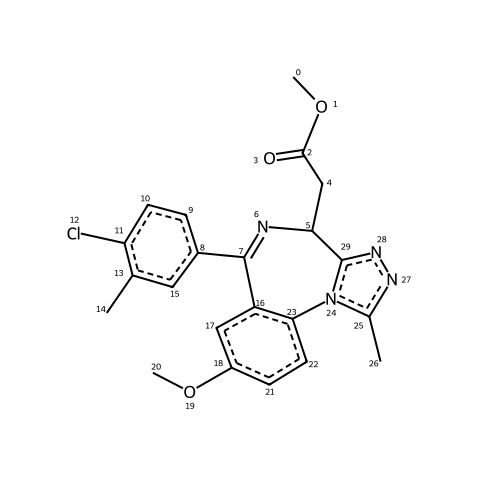 COC(=O)CC1N=C(c2ccc(Cl)c(C)c2)c2cc(OC)ccc2-n2c(C)nnc21